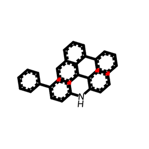 c1ccc(-c2ccc(Nc3ccccc3-c3cccc4cccc(-c5ccccc5)c34)cc2)cc1